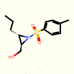 CCC[C@H]1[C@H](CO)N1S(=O)(=O)c1ccc(C)cc1